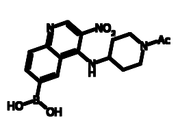 CC(=O)N1CCC(Nc2c([N+](=O)[O-])cnc3ccc(B(O)O)cc23)CC1